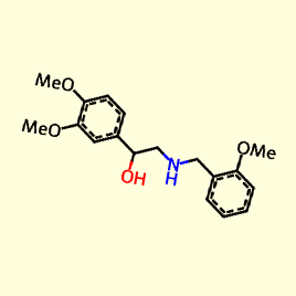 COc1ccccc1CNCC(O)c1ccc(OC)c(OC)c1